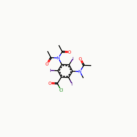 CC(=O)N(C)c1c(I)c(C(=O)Cl)c(I)c(N(C(C)=O)C(C)=O)c1I